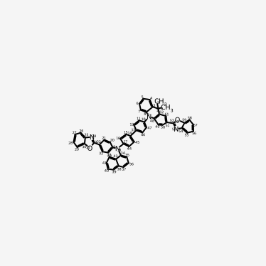 CC1(C)c2ccccc2N(c2ccc(-c3ccc(N(c4ccc(-c5nc6ccccc6o5)cc4)c4cccc5ccccc45)cc3)cc2)c2ccc(-c3nc4ccccc4o3)cc21